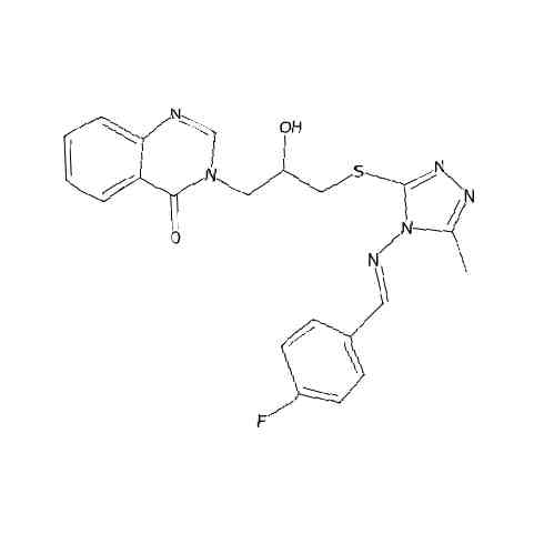 Cc1nnc(SCC(O)Cn2cnc3ccccc3c2=O)n1N=Cc1ccc(F)cc1